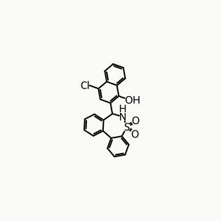 O=S1(=O)NC(c2cc(Cl)c3ccccc3c2O)c2ccccc2-c2ccccc21